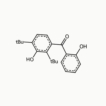 CC(C)(C)c1ccc(C(=O)c2ccccc2O)c(C(C)(C)C)c1O